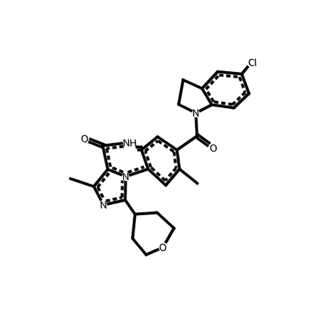 Cc1cc2c(cc1C(=O)N1CCc3cc(Cl)ccc31)[nH]c(=O)c1c(C)nc(C3CCOCC3)n12